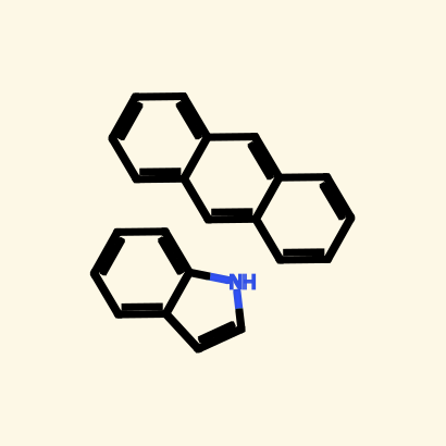 c1ccc2[nH]ccc2c1.c1ccc2cc3ccccc3cc2c1